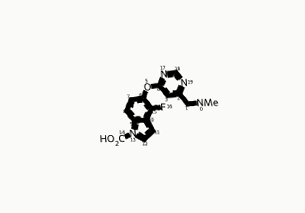 CNCc1cc(Oc2ccc3c(ccn3C(=O)O)c2F)ncn1